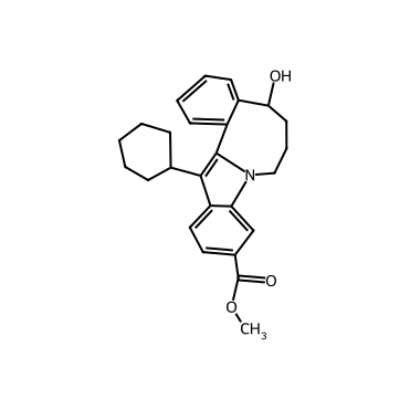 COC(=O)c1ccc2c(C3CCCCC3)c3n(c2c1)CCCC(O)c1ccccc1-3